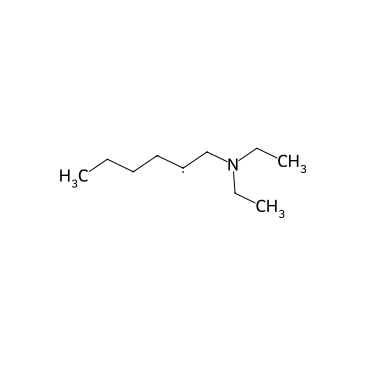 CCCC[CH]CN(CC)CC